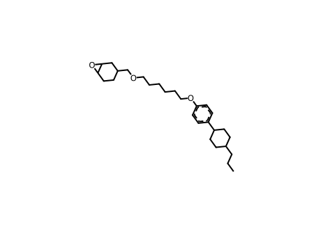 CCCC1CCC(c2ccc(OCCCCCCOCC3CCC4OC4C3)cc2)CC1